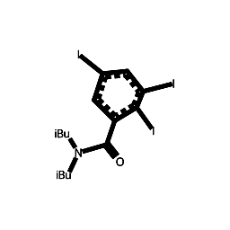 CCC(C)N(C(=O)c1cc(I)cc(I)c1I)C(C)CC